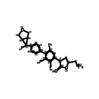 NCC1CN(c2cc(F)c(-c3ccc(C4(F)C5COCC54)nc3)c(F)c2F)C(=O)O1